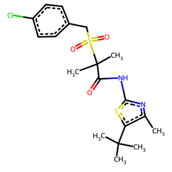 Cc1nc(NC(=O)C(C)(C)S(=O)(=O)Cc2ccc(Cl)cc2)sc1C(C)(C)C